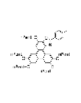 CCCCCOc1cc2c3cc(OCCCCC)c(OCCCCC)cc3c3c(cc(OCCCCC)c4oc(-c5ccc(C)cc5)nc43)c2cc1OCCCCC